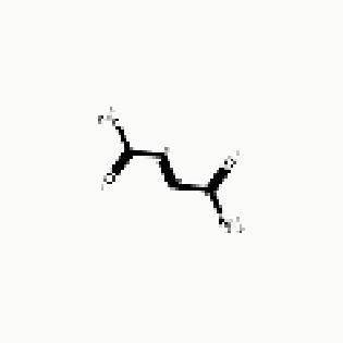 CCCC(=O)/C=C/C(N)=O